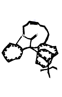 CC(C)(C)c1ccc2c(c1)C1(c3ccccc3)C(=O)N(C/C=C\CC2)c2ccccc21